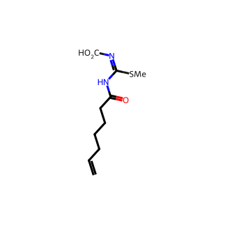 C=CCCCCC(=O)NC(=NC(=O)O)SC